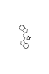 [Zr][CH](CC1C=Cc2ccccc21)C1C=Cc2ccccc21